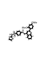 COc1ccc(-c2cc(CNc3ccc(S(=O)(=O)Nc4nccs4)cc3)c3ccccc3n2)c(OC)c1